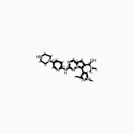 Cc1nn(C)cc1-c1c(C(O)N(C)C)cc2cnc(Nc3ccc(N4CCNCC4)cn3)nn12